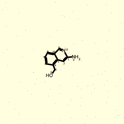 Nc1cc2c(CO)cccc2cn1